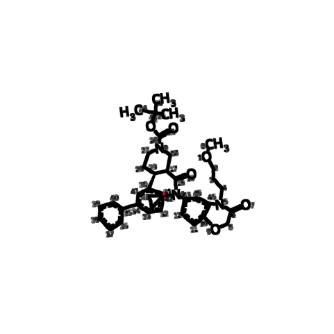 COCCCN1C(=O)COc2ccc(N(C(=O)C3CN(C(=O)OC(C)(C)C)CC[C@@H]3c3cccc(-c4ccccc4)c3)C3CC3)cc21